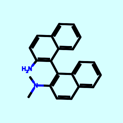 CN(C)c1ccc2ccccc2c1-c1c(N)ccc2ccccc12